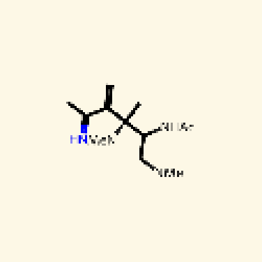 C=C(C(C)=N)[C@@](C)(NC)C(CNC)NC(C)=O